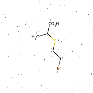 CC(SCCBr)C(=O)O